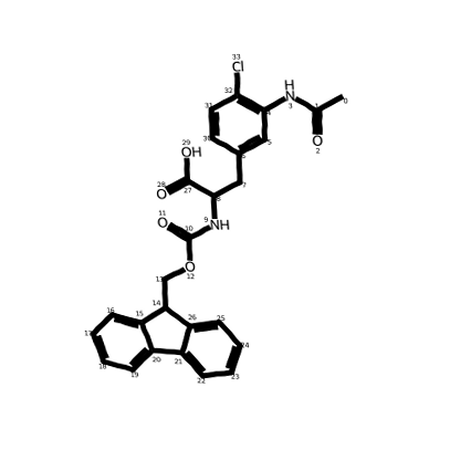 CC(=O)Nc1cc(CC(NC(=O)OCC2c3ccccc3-c3ccccc32)C(=O)O)ccc1Cl